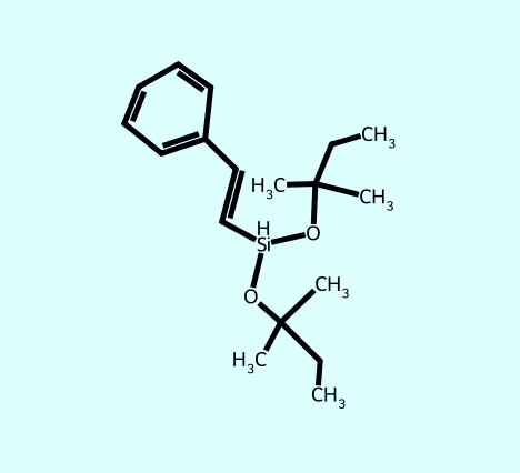 CCC(C)(C)O[SiH](C=Cc1ccccc1)OC(C)(C)CC